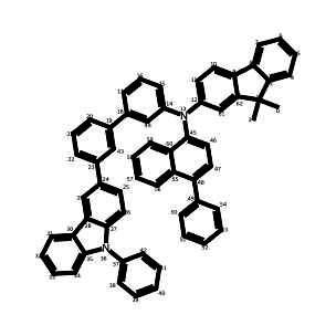 CC1(C)c2ccccc2-c2ccc(N(c3cccc(-c4cccc(-c5ccc6c(c5)c5ccccc5n6-c5ccccc5)c4)c3)c3ccc(-c4ccccc4)c4ccccc34)cc21